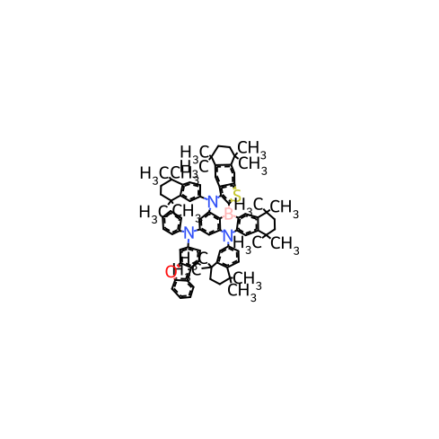 CC1(C)CCC(C)(C)c2cc(N3c4cc5c(cc4B4c6sc7cc8c(cc7c6N(c6ccc7c(c6)C(C)(C)CCC7(C)C)c6cc(N(c7ccccc7)c7ccc9c(c7)oc7ccccc79)cc3c64)C(C)(C)CCC8(C)C)C(C)(C)CCC5(C)C)ccc21